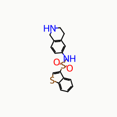 O=S(=O)(Nc1ccc2c(c1)CCNC2)c1csc2ccccc12